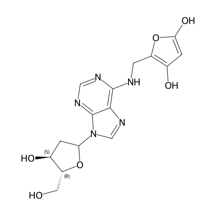 OC[C@H]1OC(n2cnc3c(NCc4oc(O)cc4O)ncnc32)C[C@@H]1O